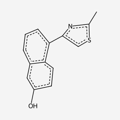 Cc1nc(-c2cccc3cc(O)ccc23)cs1